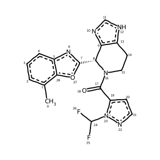 Cc1cccc2nc([C@@H]3c4nc[nH]c4CCN3C(=O)c3ccnn3C(F)F)oc12